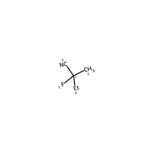 CCC(C)(F)C#N